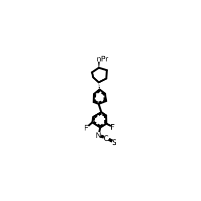 CCC[C@H]1CC[C@H](c2ccc(-c3cc(F)c(N=C=S)c(F)c3)cc2)CC1